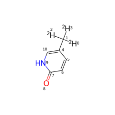 [2H]C([2H])([2H])c1ccc(=O)[nH]c1